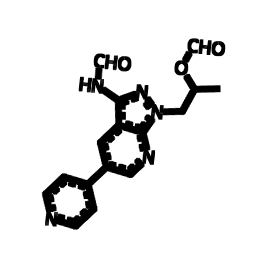 CC(Cn1nc(NC=O)c2cc(-c3ccncc3)cnc21)OC=O